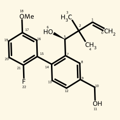 C=CC(C)(C)[C@H](O)c1cc(CO)ccc1-c1cc(OC)ccc1F